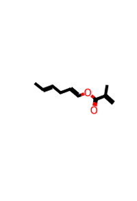 C=C(C)C(=O)OC=CCC=CC